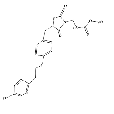 CCCOC(=O)BCN1C(=O)SC(Cc2ccc(OCCc3ccc(CC)cn3)cc2)C1=O